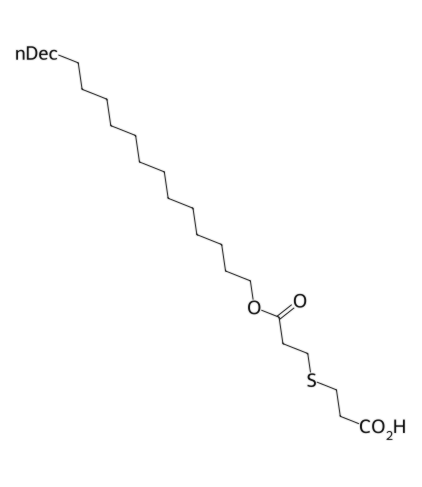 CCCCCCCCCCCCCCCCCCCCCCCOC(=O)CCSCCC(=O)O